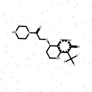 O=C(CO[C@@H]1CCNc2c1n[nH]c(=O)c2C(F)(F)F)N1CCNCC1